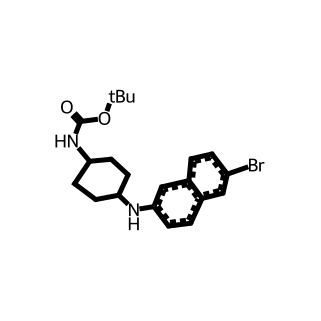 CC(C)(C)OC(=O)NC1CCC(Nc2ccc3cc(Br)ccc3c2)CC1